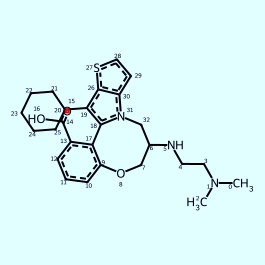 CN(C)CCNC1COc2cccc(C(=O)O)c2-c2c(C3CCCCC3)c3sccc3n2C1